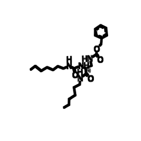 CCCCCCCNC(=O)N[C@@H](CNC(=O)OCc1ccccc1)C(=O)NCCCCCC